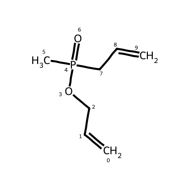 C=CCOP(C)(=O)CC=C